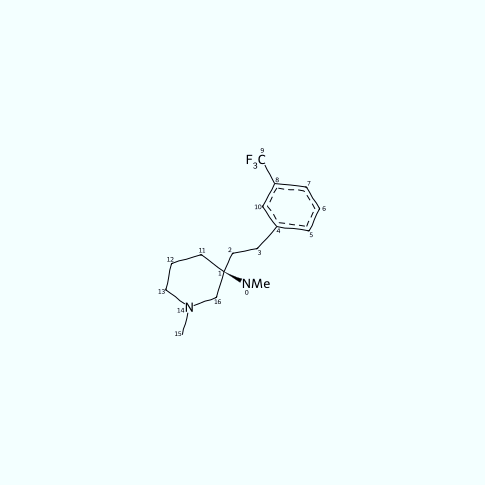 CN[C@]1(CCc2cccc(C(F)(F)F)c2)CCCN(C)C1